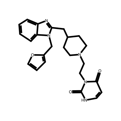 O=c1cc[nH]c(=O)n1CCN1CCC(Cc2nc3ccccc3n2Cc2ccco2)CC1